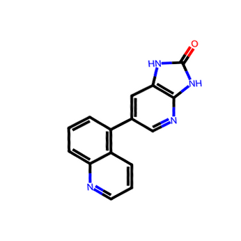 O=c1[nH]c2cc(-c3cccc4ncccc34)cnc2[nH]1